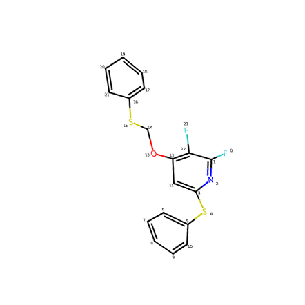 Fc1nc(Sc2ccccc2)cc(OCSc2ccccc2)c1F